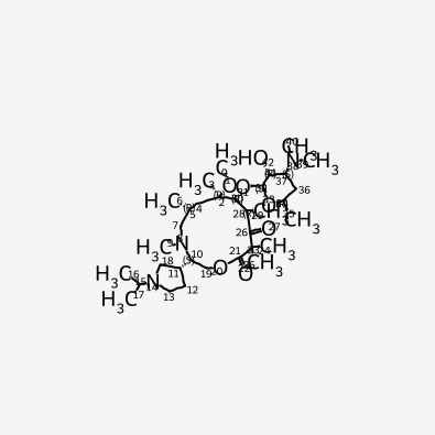 CO[C@]1(C)C[C@@H](C)CN(C)[C@@H](C2CCN(C(C)C)C2)COC(=O)C(C)(C)C(=O)[C@H](C)[C@H]1O[C@@H]1O[C@H](C)C[C@H](N(C)C)[C@H]1O